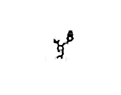 CCC(C)CN1CCC(c2ccsc2)C(COc2ccc3c(c2)OCO3)C1